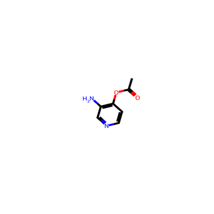 CC(=O)Oc1ccncc1N